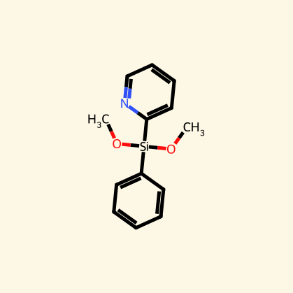 CO[Si](OC)(c1ccccc1)c1ccccn1